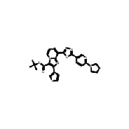 CC(C)(C)OC(=O)c1c(-c2ccsc2)nc2c(-c3nnc(-c4ccc(N5CCCC5)nc4)o3)cccn12